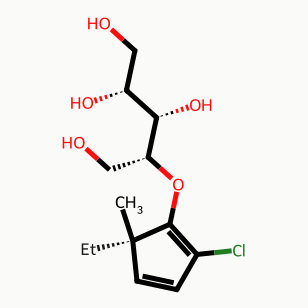 CC[C@@]1(C)C=CC(Cl)=C1O[C@H](CO)[C@@H](O)[C@H](O)CO